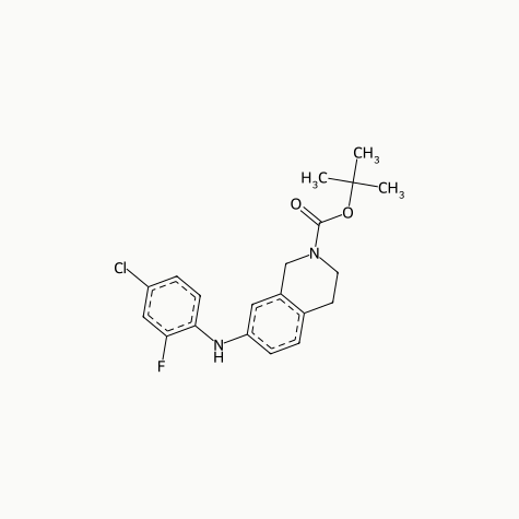 CC(C)(C)OC(=O)N1CCc2ccc(Nc3ccc(Cl)cc3F)cc2C1